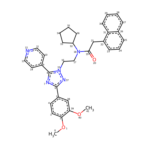 COc1ccc(-c2nc(-c3ccncc3)n(CCN(C(=O)Cc3cccc4ccccc34)C3CCCC3)n2)cc1OC